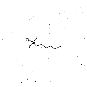 CCCCCC[Si](Cl)(I)I